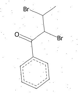 CC(Br)C(Br)C(=O)c1ccccc1